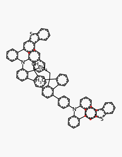 CC1(C)c2ccccc2-c2cccc(N(c3ccccc3-c3ccc4c(c3)sc3ccccc34)c3cccc4cc(CC5(C)c6ccccc6-c6c(-c7ccc(N(c8ccccc8-c8ccc9c(c8)sc8ccccc89)c8cccc9ccccc89)cc7)cccc65)ccc34)c21